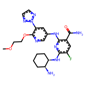 COCCOc1ncc(Nc2nc(N[C@@H]3CCCC[C@@H]3N)c(F)cc2C(N)=O)cc1-n1nccn1